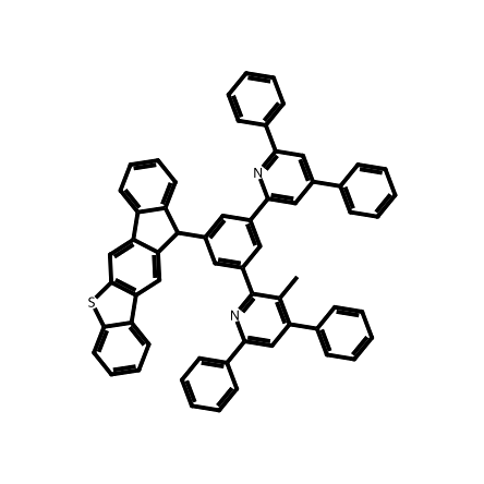 Cc1c(-c2ccccc2)cc(-c2ccccc2)nc1-c1cc(-c2cc(-c3ccccc3)cc(-c3ccccc3)n2)cc(C2c3ccccc3-c3cc4sc5ccccc5c4cc32)c1